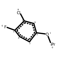 CC(C)Oc1[c]cc(F)c(Cl)c1